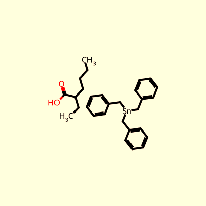 CCCCC(CC)C(=O)O.c1ccc([CH2][Sn]([CH2]c2ccccc2)[CH2]c2ccccc2)cc1